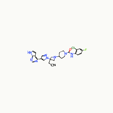 N#CCC1(n2cc(-c3ncnc4[nH]ccc34)cn2)CN(C2CCN(C(=O)Nc3ccc(F)cc3Cl)CC2)C1